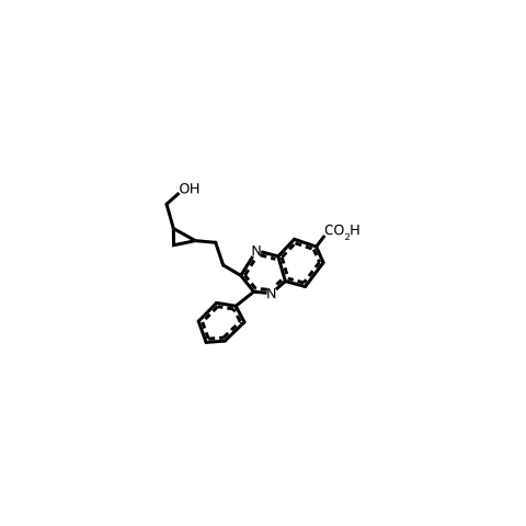 O=C(O)c1ccc2nc(-c3ccccc3)c(CCC3CC3CO)nc2c1